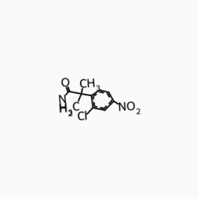 CC(C)(C(N)=O)c1ccc([N+](=O)[O-])cc1Cl